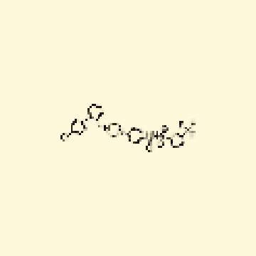 O=C(NS(=O)(=O)c1cccc(C(F)(F)F)c1)c1ccc(N2CCN(Cc3ccccc3-c3ccc(Cl)cc3)CC2)cc1